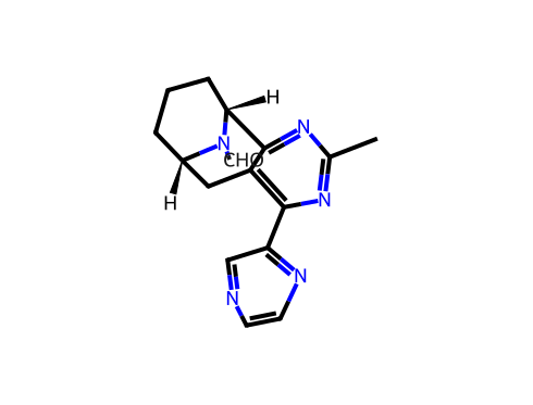 Cc1nc(-c2cnccn2)c2c(n1)[C@H]1CCC[C@@H](C2)N1C=O